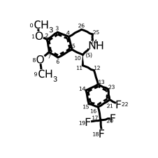 COc1cc2c(cc1OC)[C@H](CCc1ccc(C(F)(F)F)c(F)c1)NCC2